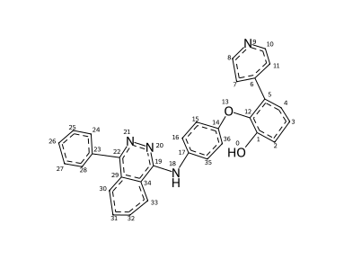 Oc1cccc(-c2ccncc2)c1Oc1ccc(Nc2nnc(-c3ccccc3)c3ccccc23)cc1